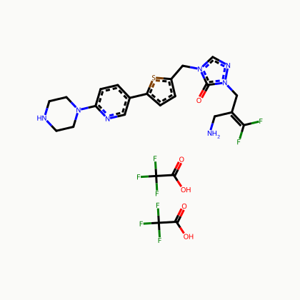 NCC(Cn1ncn(Cc2ccc(-c3ccc(N4CCNCC4)nc3)s2)c1=O)=C(F)F.O=C(O)C(F)(F)F.O=C(O)C(F)(F)F